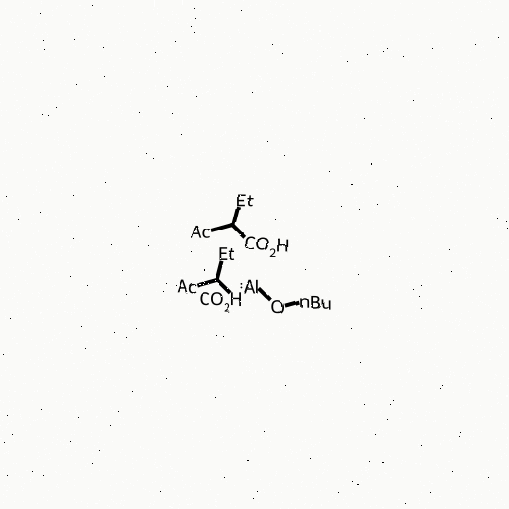 CCC(C(C)=O)C(=O)O.CCC(C(C)=O)C(=O)O.CCCC[O][Al]